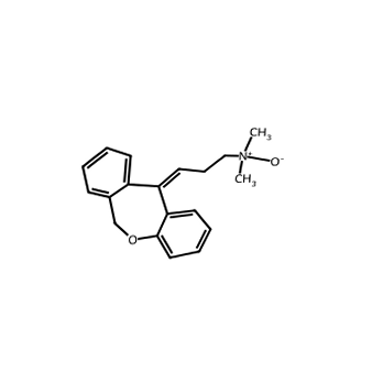 C[N+](C)([O-])CCC=C1c2ccccc2COc2ccccc21